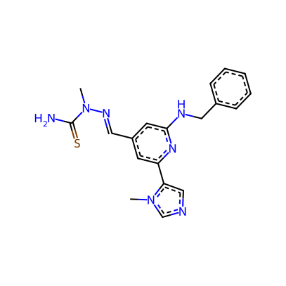 CN(N=Cc1cc(NCc2ccccc2)nc(-c2cncn2C)c1)C(N)=S